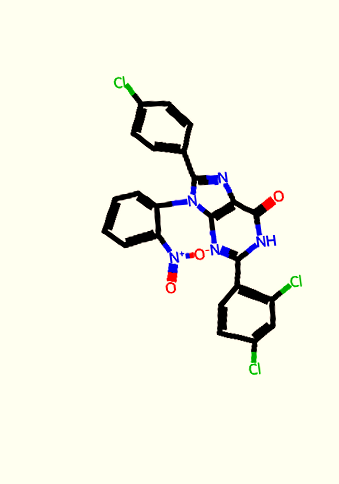 O=c1[nH]c(-c2ccc(Cl)cc2Cl)nc2c1nc(-c1ccc(Cl)cc1)n2-c1ccccc1[N+](=O)[O-]